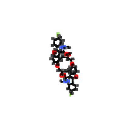 CNC(=O)c1c(-c2ccc(F)cc2)oc2ccc3c(c12)CC(=O)COc1ccc2oc(-c4ccc(F)cc4)c(C(=O)NC)c2c1CC(=O)CO3